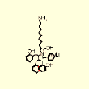 Cl.NCCCCCCCCCCC[N+](CCO)(Cc1ccccc1)C(Cc1ccccc1O)C(Cc1ccccc1)Cc1ccccc1O.[Cl-]